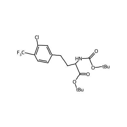 CC(C)(C)OC(=O)NC(CCc1ccc(C(F)(F)F)c(Cl)c1)C(=O)OC(C)(C)C